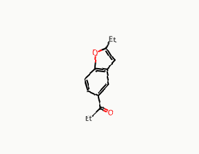 CCC(=O)c1ccc2oc(CC)cc2c1